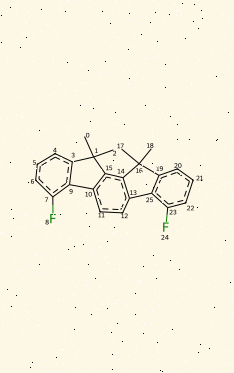 CC1(C)c2cccc(F)c2-c2ccc3c(c21)C(C)(C)c1cccc(F)c1-3